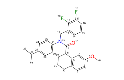 COc1ccc2c(c1)C(C(=O)N(Cc1cccc(F)c1F)c1ccc(C(C)C)cc1)CCC2